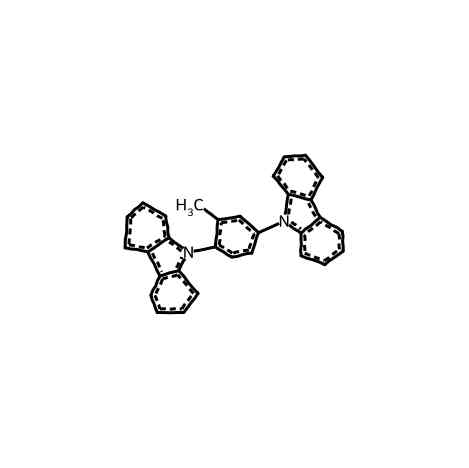 Cc1cc(-n2c3ccccc3c3ccccc32)ccc1-n1c2ccccc2c2ccccc21